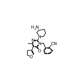 Cc1nc(N2CCC[C@@H](N)C2)n(Cc2ccccc2C#N)c(=O)c1C1=COCC1